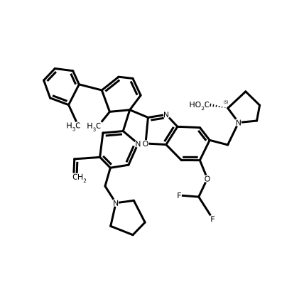 C=Cc1cc(C2(c3nc4cc(CN5CCC[C@H]5C(=O)O)c(OC(F)F)cc4o3)C=CC=C(c3ccccc3C)C2C)ncc1CN1CCCC1